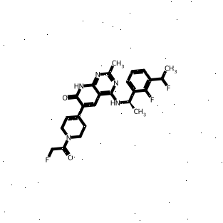 Cc1nc(N[C@H](C)c2cccc(C(C)F)c2F)c2cc(C3=CCN(C(=O)CF)CC3)c(=O)[nH]c2n1